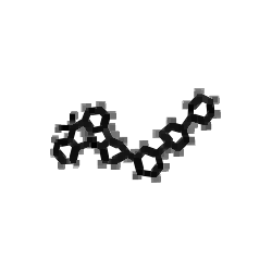 CC1(C)c2ccccc2-n2c3ccc(-c4cccc(-c5ccc(-c6ccccc6)cc5)c4)cc3c3cccc1c32